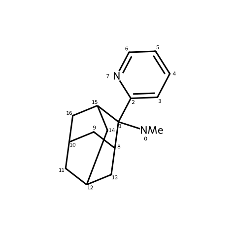 CNC1(c2ccccn2)C2CC3CC(C2)CC1C3